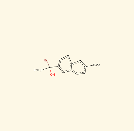 CCOC(=O)C(O)(Br)c1ccc2cc(OC)ccc2c1